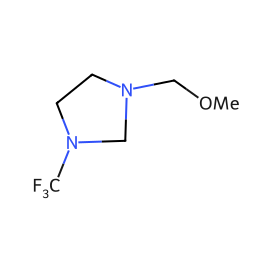 COCN1CCN(C(F)(F)F)C1